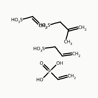 C=C(C)CS(=O)(=O)O.C=CCS(=O)(=O)O.C=CP(=O)(O)O.C=CS(=O)(=O)O